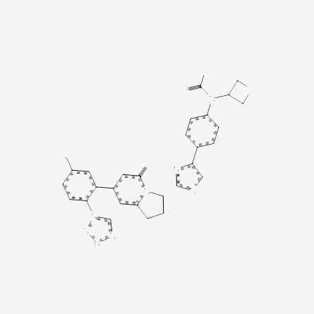 O=C(O)N(c1ccc(-c2cnc([C@@H]3CCc4cc(-c5cc(Cl)ccc5-n5cnnn5)cc(=O)n43)[nH]2)cc1)C1COC1